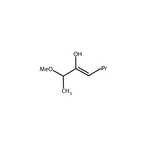 COC(C)C(O)=CC(C)C